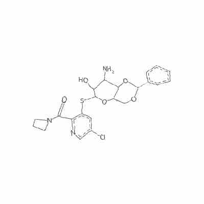 NC1C(O)C(Sc2cc(Cl)cnc2C(=O)N2CCC2)OC2COC(c3ccccc3)OC21